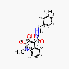 Cc1cccc(CCNC(=O)c2c(O)c(=O)n(C)c3ccccc23)c1